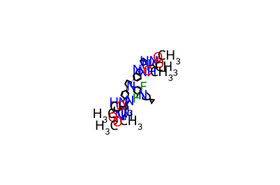 CCCN(Cc1nc2cc([C@H]3CC[C@H](c4ccc5[nH]c([C@@H]6CCCN6C(=O)C(NC(=O)OC)C(C)C)nc5c4)N3c3cc(F)c(N4CCC5(CC4)CC5)c(F)c3)ccc2[nH]1)C(=O)C(NC(=O)OC)C(C)C